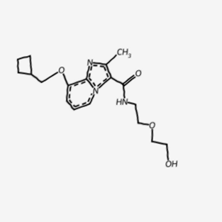 Cc1nc2c(OCC3CCC3)cccn2c1C(=O)NCCOCCO